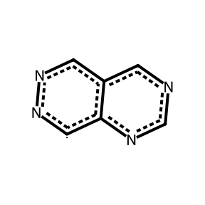 [c]1nncc2cncnc12